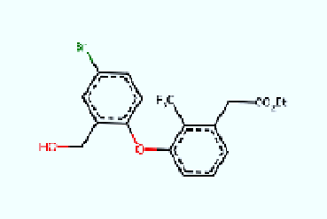 CCOC(=O)Cc1cccc(Oc2ccc(Br)cc2CO)c1C(F)(F)F